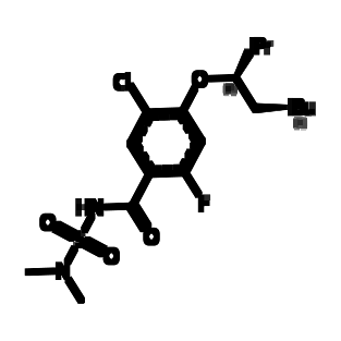 CC[C@H](C)C[C@@H](Oc1cc(F)c(C(=O)NS(=O)(=O)N(C)C)cc1Cl)C(C)C